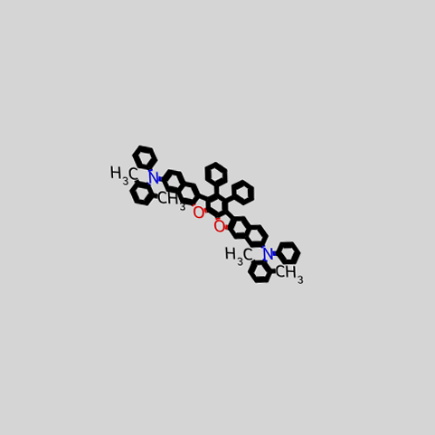 Cc1cccc(C)c1N(c1ccccc1)c1ccc2cc3c(cc2c1)oc1c2oc4cc5cc(N(c6ccccc6)c6c(C)cccc6C)ccc5cc4c2c(-c2ccccc2)c(-c2ccccc2)c31